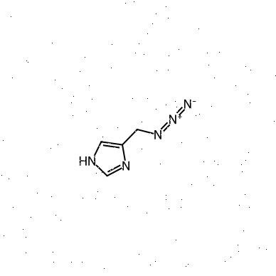 [N-]=[N+]=NCc1c[nH]cn1